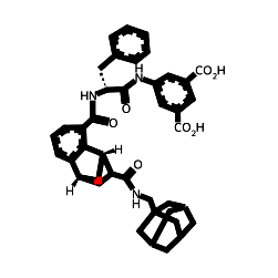 O=C(O)c1cc(NC(=O)[C@@H](Cc2ccccc2)NC(=O)c2cccc3c2[C@H]2C[C@@H]3CC2C(=O)NCC23CC4CC(CC(C4)C2)C3)cc(C(=O)O)c1